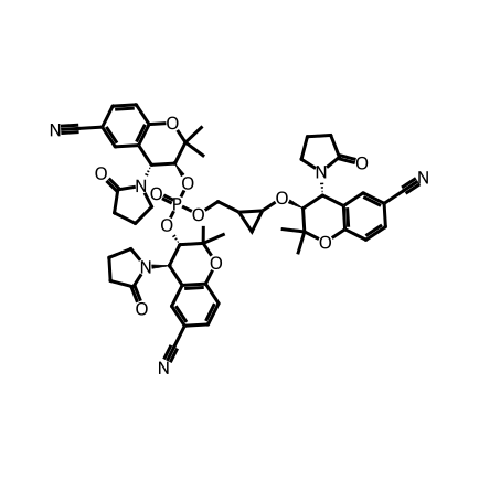 CC1(C)Oc2ccc(C#N)cc2[C@@H](N2CCCC2=O)[C@@H]1OC1CC1COP(=O)(O[C@H]1[C@H](N2CCCC2=O)c2cc(C#N)ccc2OC1(C)C)O[C@H]1[C@H](N2CCCC2=O)c2cc(C#N)ccc2OC1(C)C